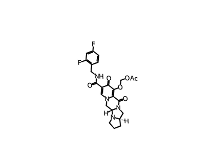 CC(=O)OCOc1c2n(cc(C(=O)NCc3ccc(F)cc3F)c1=O)C[C@@H]1N(C[C@H]3CCCN31)C2=O